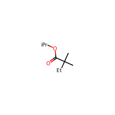 [CH2]C(C)OC(=O)C(C)(C)CC